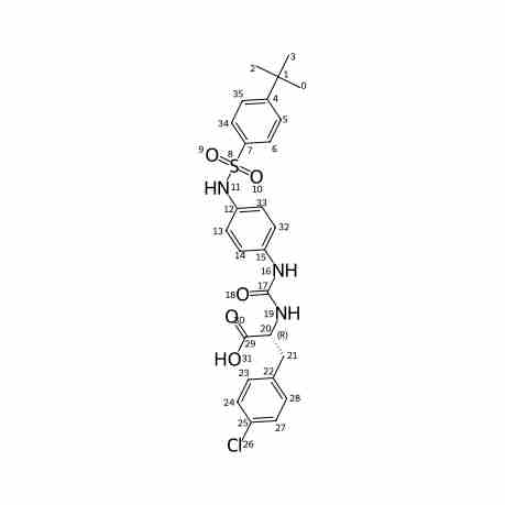 CC(C)(C)c1ccc(S(=O)(=O)Nc2ccc(NC(=O)N[C@H](Cc3ccc(Cl)cc3)C(=O)O)cc2)cc1